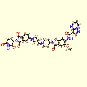 CC(C)Oc1cc2c(cc1NC(=O)c1cnn3cccnc13)CN(C1CCN(CC3(F)CN(c4ccc5c(c4)C(=O)N(C4CCC(=O)NC4=O)C5=O)C3)CC1)C2=O